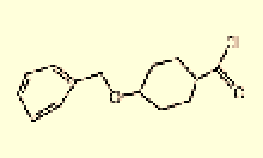 O=C(Cl)C1CCC(OCc2ccccc2)CC1